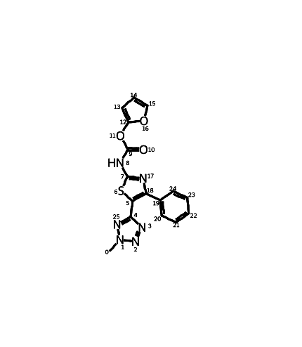 Cn1nnc(-c2sc(NC(=O)Oc3ccco3)nc2-c2ccccc2)n1